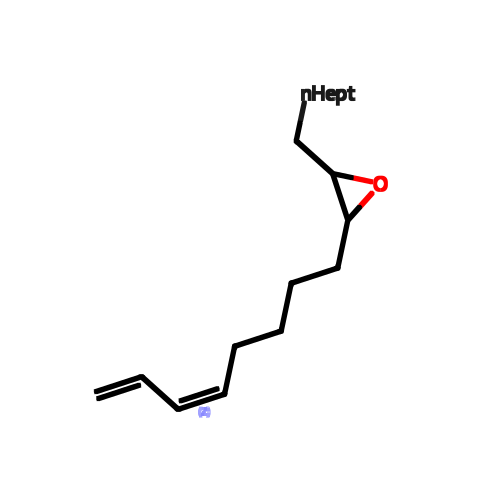 C=C/C=C\CCCCC1OC1CCCCCCCC